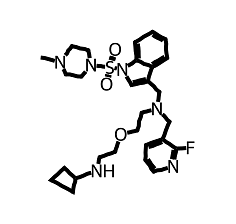 CN1CCN(S(=O)(=O)n2cc(CN(CCOCCNC3CCC3)Cc3cccnc3F)c3ccccc32)CC1